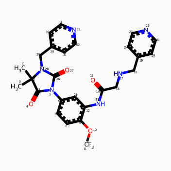 CC1(C)C(=O)N(c2ccc(OC(F)(F)F)c(NC(=O)CNCc3ccncc3)c2)C(=O)N1Cc1ccncc1